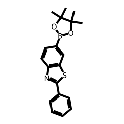 CC1(C)OB(c2ccc3nc(-c4ccccc4)sc3c2)OC1(C)C